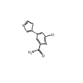 NC(=O)c1cc(-c2cncs2)cc(Cl)n1